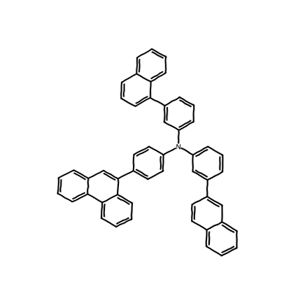 c1cc(-c2ccc3ccccc3c2)cc(N(c2ccc(-c3cc4ccccc4c4ccccc34)cc2)c2cccc(-c3cccc4ccccc34)c2)c1